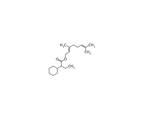 CCC(C(=O)OC/C=C(\C)CCC=C(C)C)C1CCCCC1